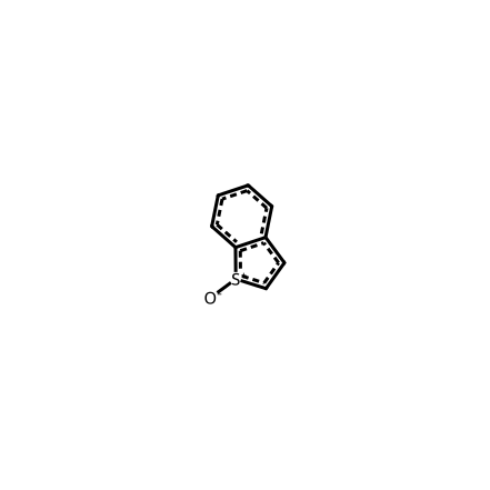 [O-][s+]1ccc2ccccc21